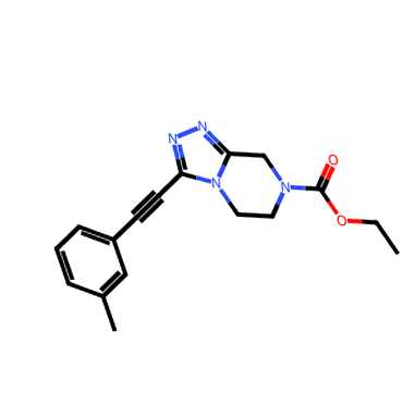 CCOC(=O)N1CCn2c(C#Cc3cccc(C)c3)nnc2C1